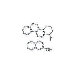 FC1CCCc2c1ccc1c2ccc2ccccc21.Oc1ccc2ccccc2c1